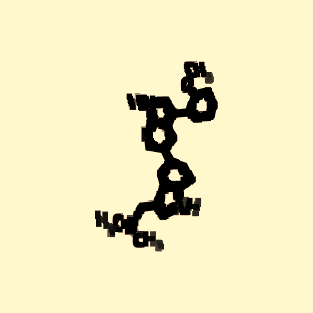 COc1ccccc1-c1c[nH]c2ncc(-c3ccc4[nH]cc(CN(C)C)c4c3)cc12